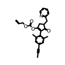 C=CCOC(=O)OC1=C(c2c(C)cc(C#CC)cc2C)C(=O)C(Cc2ccccn2)C1